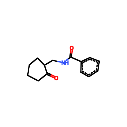 O=C(NCC1CCCCC1=O)c1ccccc1